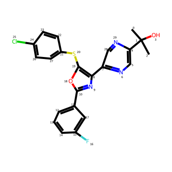 CC(C)(O)c1cnc(-c2nc(-c3cccc(F)c3)oc2Sc2ccc(Cl)cc2)cn1